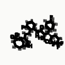 O=C(O)N[C@H](C(=O)Nc1cccc(F)c1CCC1CNC2CCCS(=O)(=O)N1C2)[C@H](c1ccc(F)cc1)C1CCC(F)(F)CC1